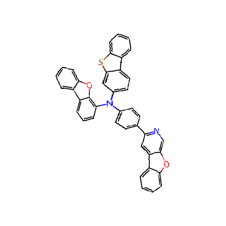 c1ccc2c(c1)oc1cnc(-c3ccc(N(c4ccc5c(c4)sc4ccccc45)c4cccc5c4oc4ccccc45)cc3)cc12